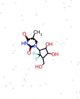 Cc1cn(C2C(O)C(O)C(CO)C2(F)F)c(=O)[nH]c1=O